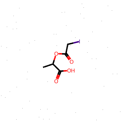 CC(OC(=O)CI)C(=O)O